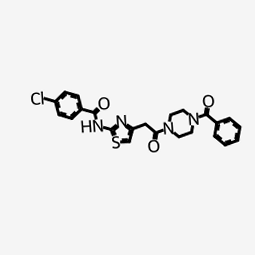 O=C(Nc1nc(CC(=O)N2CCN(C(=O)c3ccccc3)CC2)cs1)c1ccc(Cl)cc1